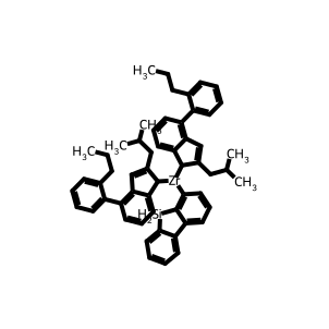 CCCc1ccccc1-c1cccc2c1C=C(CC(C)C)[CH]2[Zr]([c]1cccc2c1[SiH2]c1ccccc1-2)[CH]1C(CC(C)C)=Cc2c(-c3ccccc3CCC)cccc21